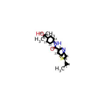 C[C@@H]1C[C@@H]1c1cc2ncc(C(=O)NC3CCC(C(C)(C)O)CC3)cc2s1